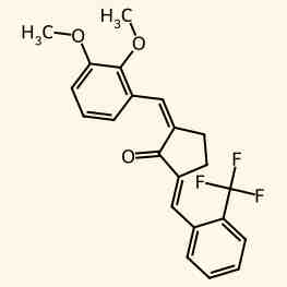 COc1cccc(C=C2CCC(=Cc3ccccc3C(F)(F)F)C2=O)c1OC